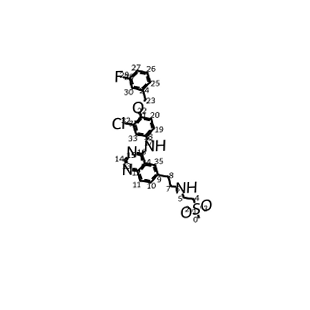 CS(=O)(=O)CCNCCc1ccc2ncnc(Nc3ccc(OCc4cccc(F)c4)c(Cl)c3)c2c1